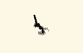 CCCCCCCCOc1ccc(-c2ccc(C(N)COP(=O)(O)O)nc2)cc1C(F)(F)F